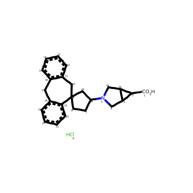 Cl.O=C(O)C1C2CN(C3CCC4(Cc5ccccc5Cc5ccccc54)C3)CC21